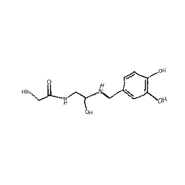 CC(C)(C)CC(=O)NCC(O)NCc1ccc(O)c(O)c1